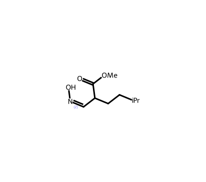 COC(=O)C(/C=N\O)CCC(C)C